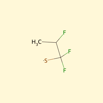 CC(F)C(F)(F)[S]